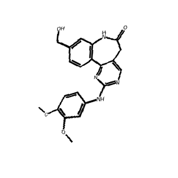 COc1ccc(Nc2ncc3c(n2)-c2ccc(CO)cc2NC(=O)C3)cc1OC